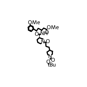 COC(=O)CC(CCc1cccc(OC)c1)NC(=O)[C@@H]1CCCN(C(=O)CCC2CCN(C(=O)OC(C)(C)C)CC2)C1